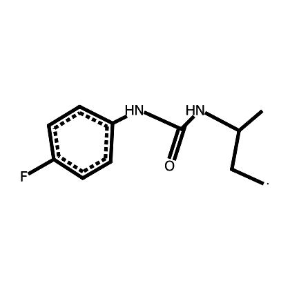 [CH2]CC(C)NC(=O)Nc1ccc(F)cc1